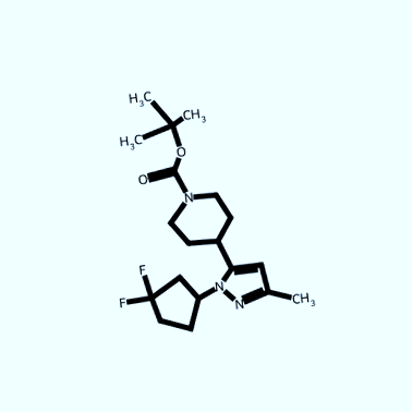 Cc1cc(C2CCN(C(=O)OC(C)(C)C)CC2)n(C2CCC(F)(F)C2)n1